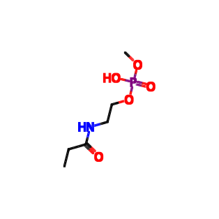 CCC(=O)NCCOP(=O)(O)OC